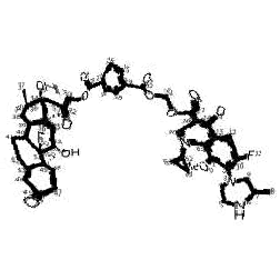 COc1c(N2CCNC(C)C2)c(F)cc2c(=O)c(C(=O)OCOC(=O)c3ccc(C(=O)OCC(=O)[C@@]4(O)[C@H](C)CC5C6CCC7=CC(=O)C=C[C@]7(C)[C@@]6(F)[C@@H](O)C[C@@]54C)cc3)cn(C3CC3)c12